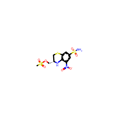 CS(=O)(=O)OC[C@@H]1CSc2cc(S(N)(=O)=O)cc([N+](=O)[O-])c2N1